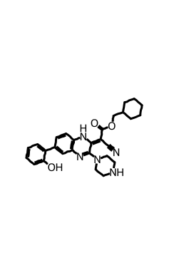 N#C/C(C(=O)OCC1CCCCC1)=C1/Nc2ccc(-c3ccccc3O)cc2N=C1N1CCNCC1